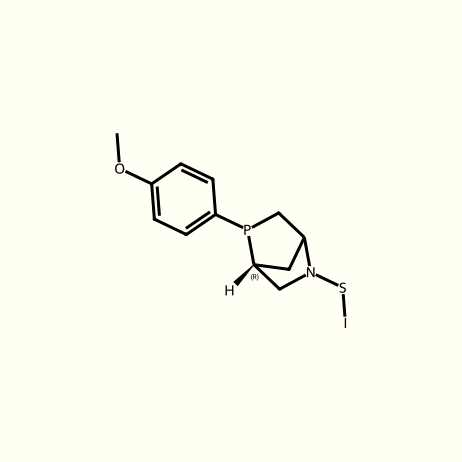 COc1ccc(P2CC3C[C@@H]2CN3SI)cc1